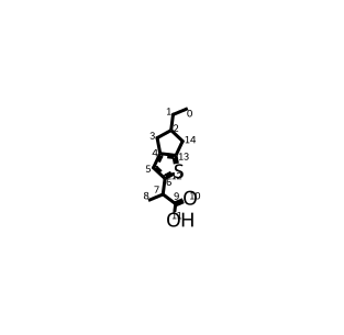 CCC1Cc2cc(C(C)C(=O)O)sc2C1